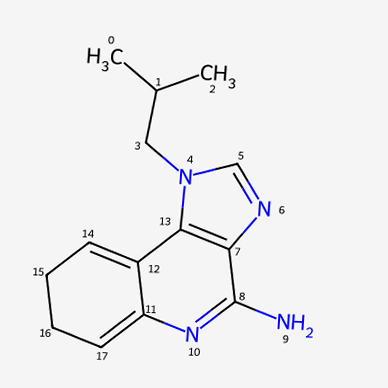 CC(C)Cn1cnc2c(N)nc3c(c21)=CCCC=3